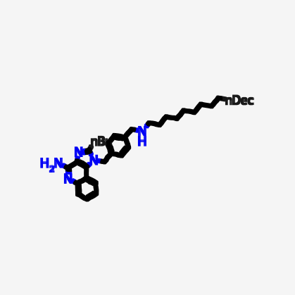 CCCCCCCCCCCCCCCCCCCNCc1ccc(Cn2c(CCCC)nc3c(N)nc4ccccc4c32)cc1